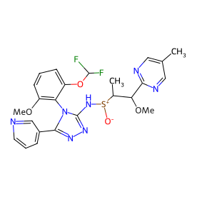 COc1cccc(OC(F)F)c1-n1c(N[S+]([O-])C(C)C(OC)c2ncc(C)cn2)nnc1-c1cccnc1